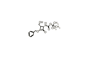 CC(C)(C)OC(=O)N[C@@H]1C(=O)N(OCc2ccccc2)[C@H]1CO